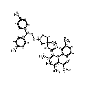 COC(=O)C1=C(C)NC(C)=C(C(=O)OC2(C)CCN(CCC(c3ccc(O)cc3)c3ccc(O)cc3)C2)C1c1cccc([N+](=O)[O-])c1